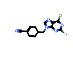 N#CC1=CCC(Cn2cnc3c(Cl)nc(Cl)nc32)C=C1